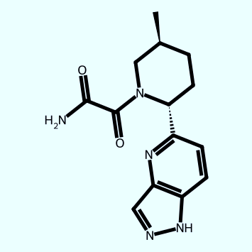 C[C@H]1CC[C@H](c2ccc3[nH]ncc3n2)N(C(=O)C(N)=O)C1